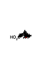 Cc1ccc(N(CC(C)F)S(=O)(=O)c2nc(C)cs2)c(OCc2ccc(C(=O)O)cc2)c1